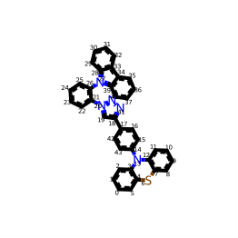 c1ccc2c(c1)Sc1ccccc1N2c1ccc(-c2cn(-c3ccccc3-n3c4ccccc4c4ccccc43)nn2)cc1